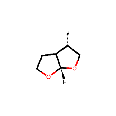 C[C@@H]1CO[C@@H]2OCCC21